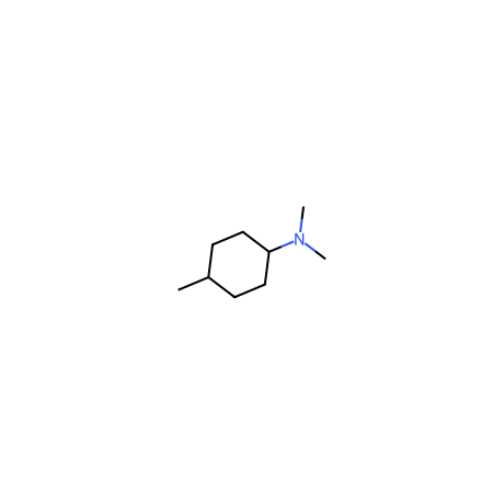 CC1CCC(N(C)C)CC1